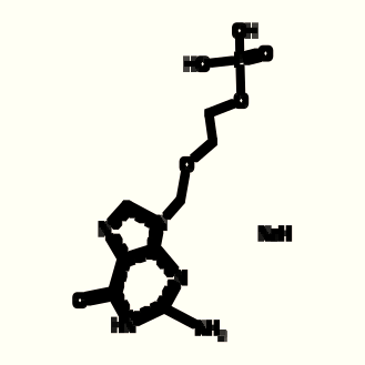 Nc1nc2c(ncn2COCCOP(=O)(O)O)c(=O)[nH]1.[NaH]